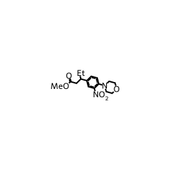 CCC(CC(=O)OC)c1ccc(N2CCOCC2)c([N+](=O)[O-])c1